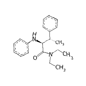 CCN(CC)C(=O)[C@@H](Nc1ccccc1)[C@@H](C)c1ccccc1